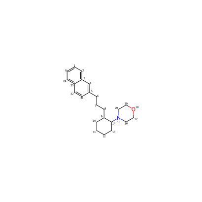 c1ccc2cc(CCCC3CCCCC3N3CCOCC3)ccc2c1